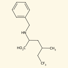 CC(CC(NCc1ccccc1)C(=O)O)CC(F)(F)F